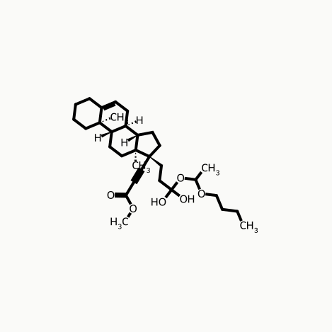 CCCCOC(C)OC(O)(O)CC[C@]1(C#CC(=O)OC)CC[C@H]2[C@@H]3CC=C4CCCC[C@]4(C)[C@H]3CC[C@@]21C